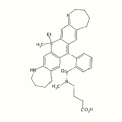 CCS1(C)c2cc3c(cc2C(c2ccccc2C(=O)N(C)CCCC(=O)O)=c2cc4c(cc21)=NCCCC4)CCCCN3